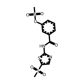 CS(=O)(=O)Oc1cccc(C(=O)Nc2ncc(S(C)(=O)=O)s2)c1